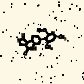 COc1nc(C)cc(C)c1-c1ccc2c(c1)[nH]c(=O)c1cn[nH]c12